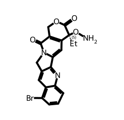 CC[C@@]1(ON)C(=O)OCc2c1cc1n(c2=O)Cc2cc3c(Br)cccc3nc2-1